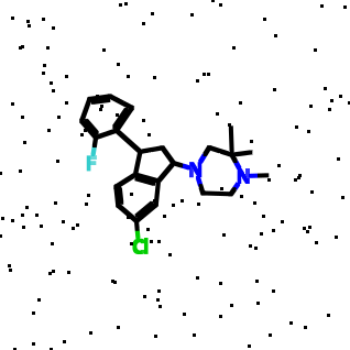 CN1CCN(C2CC(c3ccccc3F)c3ccc(Cl)cc32)CC1(C)C